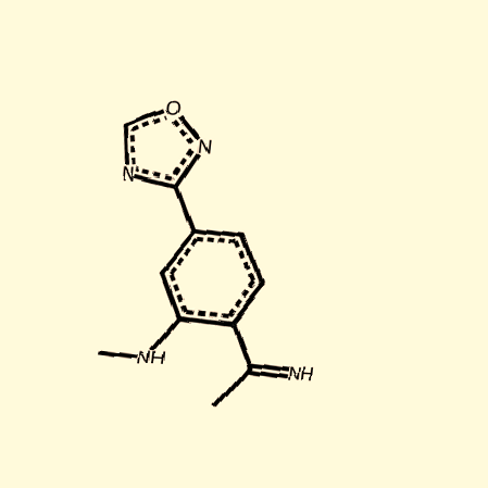 CNc1cc(-c2ncon2)ccc1C(C)=N